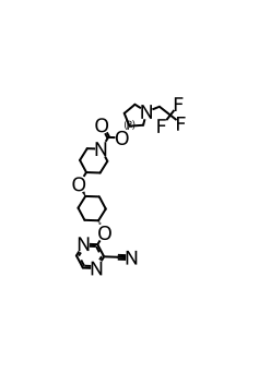 N#Cc1nccnc1O[C@H]1CC[C@H](OC2CCN(C(=O)O[C@@H]3CCN(CC(F)(F)F)C3)CC2)CC1